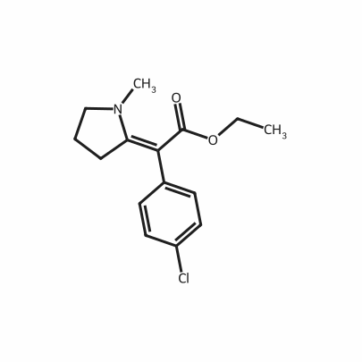 CCOC(=O)/C(=C1/CCCN1C)c1ccc(Cl)cc1